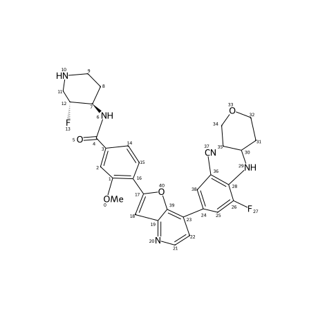 COc1cc(C(=O)N[C@@H]2CCNC[C@H]2F)ccc1-c1cc2nccc(-c3cc(F)c(NC4CCOCC4)c(C#N)c3)c2o1